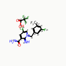 N=c1c(C(N)=O)cc(Cl)cn1Cc1cc(F)cc(C(F)(F)F)c1.O=C(O)C(F)(F)F